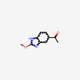 COc1nc2cc(C(C)=O)ccc2[nH]1